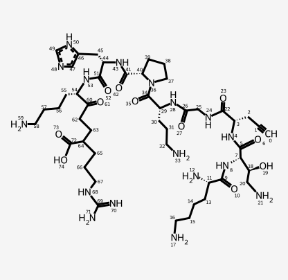 C#CC[C@H](NC(=O)[C@@H](NC(=O)[C@@H](N)CCCCN)[C@@H](O)CN)C(=O)NCC(=O)N[C@H](CCCN)C(=O)N1CCC[C@H]1C(=O)N[C@@H](Cc1cnc[nH]1)C(=O)N[C@@H](CCCCN)C(=O)CCC(CCCNC(=N)N)C(=O)O